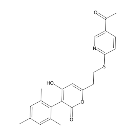 CC(=O)c1ccc(SCCc2cc(O)c(-c3c(C)cc(C)cc3C)c(=O)o2)nc1